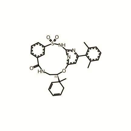 Cc1cccc(C)c1-c1cc2nc(n1)NS(=O)(=O)c1cccc(c1)C(=O)NC[C@H](C1(C)C=CC=CC1)O2